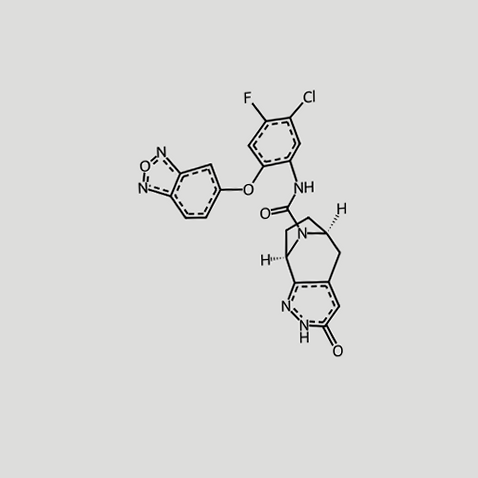 O=C(Nc1cc(Cl)c(F)cc1Oc1ccc2nonc2c1)N1[C@H]2CC[C@@H]1c1n[nH]c(=O)cc1C2